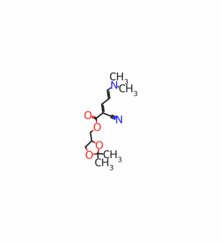 CN(C)C=CC=C(C#N)C(=O)OCC1COC(C)(C)O1